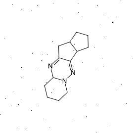 C1CC2CC3=NC4CCCCN4N=C3C2C1